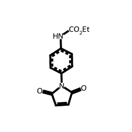 CCOC(=O)Nc1ccc(N2C(=O)C=CC2=O)cc1